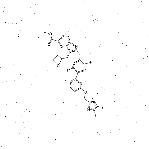 COC(=O)c1ccc2nc(Cc3cc(F)c(-c4cccc(OCc5cc(Br)n(C)n5)n4)cc3F)n(CC3CCO3)c2c1